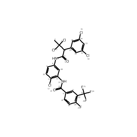 CC(Cl)(Cl)C(C(=O)Nc1ccc(Cl)c(NC(=O)c2ccc(F)c(C(F)(F)F)c2)c1)c1cc(Cl)cc(Cl)c1